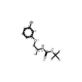 C[C@@H](COc1cccc(Br)c1)NC(=O)OC(C)(C)C